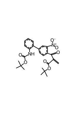 C=C(C(=O)OC(C)(C)C)C(=O)c1ccc(-c2ccccc2NC(=O)OC(C)(C)C)cc1[N+](=O)[O-]